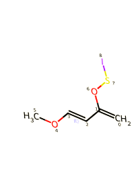 C=C(/C=C/OC)OSI